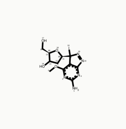 COc1nc(N)nc2c1C(I)([C@H]1CC(O)[C@@H](CO)O1)N=N2